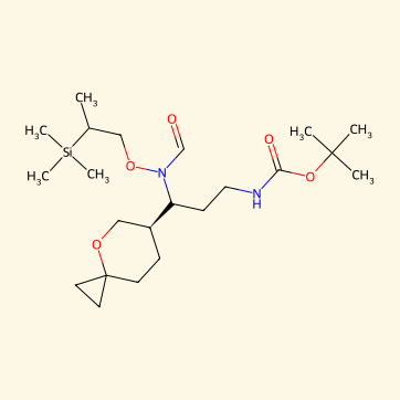 CC(CON(C=O)C(CCNC(=O)OC(C)(C)C)[C@H]1CCC2(CC2)OC1)[Si](C)(C)C